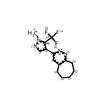 Cn1ncc(-c2cc3c(nn2)CCCCC3)c1C(F)(F)F